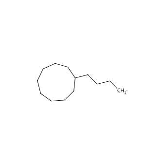 [CH2]CCCC1CCCCCCCC1